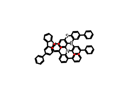 c1ccc(-c2ccc3c(c2)B2c4cc(-c5ccccc5)ccc4N(c4c(-c5ccccc5)cccc4-c4ccccc4)c4cc(-n5c6ccccc6c6cc(-c7ccccc7)ccc65)cc(c42)S3)cc1